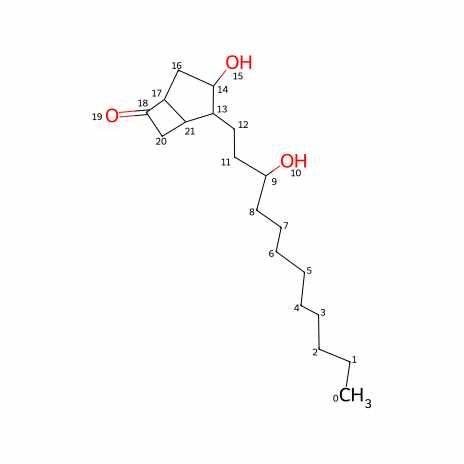 CCCCCCCCCC(O)CCC1C(O)CC2C(=O)CC21